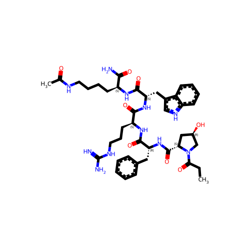 CCC(=O)N1C[C@H](O)C[C@H]1C(=O)N[C@H](Cc1ccccc1)C(=O)N[C@@H](CCCNC(=N)N)C(=O)N[C@@H](Cc1c[nH]c2ccccc12)C(=O)N[C@@H](CCCCNC(C)=O)C(N)=O